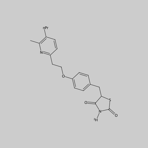 [2H]N1C(=O)SC(Cc2ccc(OCCc3ccc(CCC)c(C)n3)cc2)C1=O